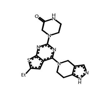 CCc1cc2c(N3CCc4[nH]ncc4C3)nc(N3CCNC(=O)C3)nc2s1